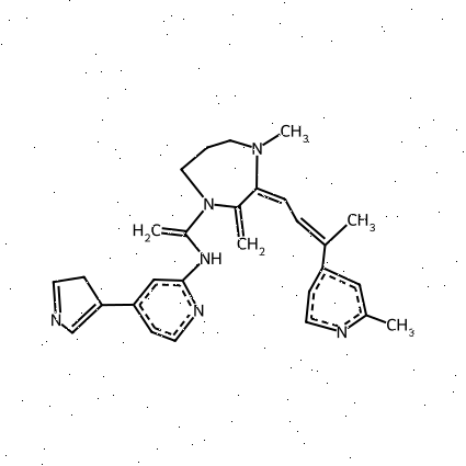 C=C(Nc1cc(C2=CN=CC2)ccn1)N1CCCN(C)/C(=C/C=C(\C)c2ccnc(C)c2)C1=C